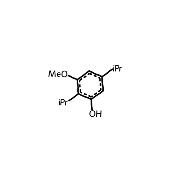 COc1cc(C(C)C)cc(O)c1C(C)C